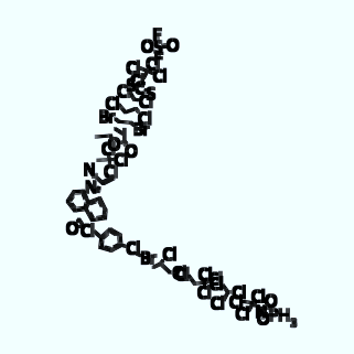 BrCCBr.C#N.C1CO1.C=CC#N.CBr.CC(Cl)(Cl)Cl.CC(Cl)CCl.CCOC=O.CI.ClC(Cl)(Cl)Cl.ClC(Cl)Cl.ClCC(Cl)(Cl)Cl.ClCCCl.ClCCl.Clc1ccc(Cl)cc1.O=S(=O)(F)F.O=[N+]([O-])C(Cl)(Cl)Cl.P.S=C=S.c1ccc2ccccc2c1